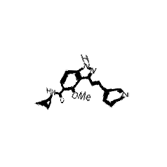 COc1c(C(=O)NC2CC2)ccc2[nH]nc(/C=C/c3cccnc3)c12